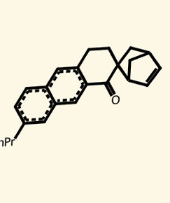 CCCc1ccc2cc3c(cc2c1)C(=O)C1(CC3)CC2C=CC1C2